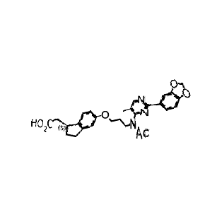 CC(=O)N(CCCOc1ccc2c(c1)CC[C@H]2CC(=O)O)c1nc(-c2ccc3c(c2)OCO3)ncc1C